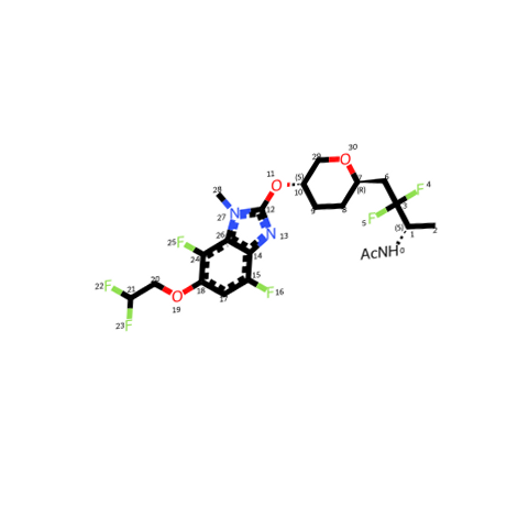 CC(=O)N[C@@H](C)C(F)(F)C[C@H]1CC[C@H](Oc2nc3c(F)cc(OCC(F)F)c(F)c3n2C)CO1